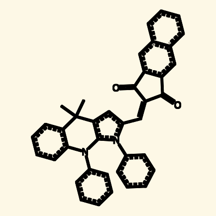 CC1(C)c2ccccc2N(c2ccccc2)c2c1cc(C=C1C(=O)c3cc4ccccc4cc3C1=O)n2-c1ccccc1